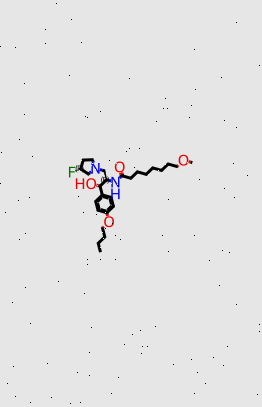 CCCCOc1ccc(C(O)[C@@H](CN2CC[C@@H](F)C2)NC(=O)CCCCCCCOC)cc1